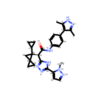 Cc1n[nH]c(C)c1-c1ccc(NC(=O)[C@@H](c2nnc(-c3ccnn3C(C)C)[nH]2)C2(C3CC3)CC23CC3)cc1